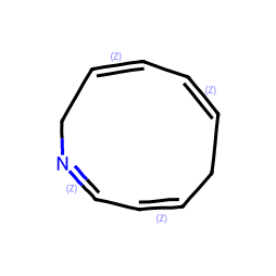 C1=C\C/C=C\C=N/C\C=C/1